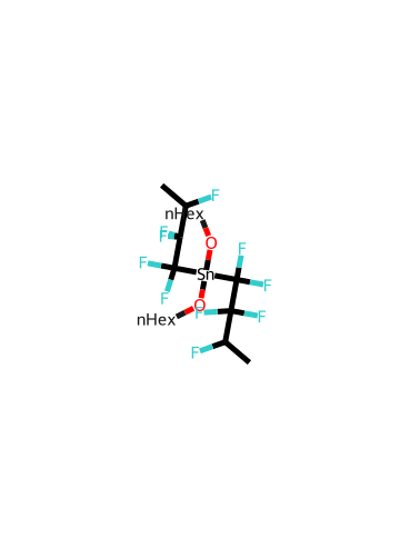 CCCCCC[O][Sn]([O]CCCCCC)([C](F)(F)C(F)(F)C(C)F)[C](F)(F)C(F)(F)C(C)F